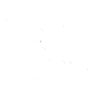 CC1C[C@@H](C(=O)NCc2cc(F)cc(-c3ccc(C(F)(F)F)nn3)c2)N(S(=O)(=O)c2ccc(F)cc2)C1